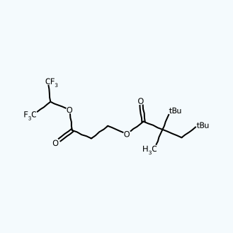 CC(C)(C)CC(C)(C(=O)OCCC(=O)OC(C(F)(F)F)C(F)(F)F)C(C)(C)C